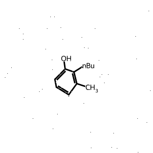 CCCCc1c(C)[c]ccc1O